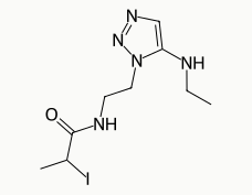 CCNc1cnnn1CCNC(=O)C(C)I